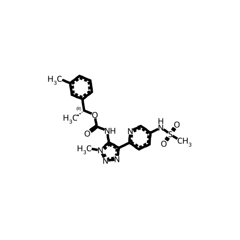 Cc1cccc([C@@H](C)OC(=O)Nc2c(-c3ccc(NS(C)(=O)=O)cn3)nnn2C)c1